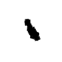 [2H]C([2H])(N1CCN(c2ncccn2)CC1)C([2H])([2H])C([2H])([2H])C([2H])([2H])N1C(=O)CC2(CCCC2)CC1=O